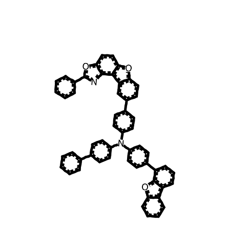 c1ccc(-c2ccc(N(c3ccc(-c4ccc5oc6ccc7oc(-c8ccccc8)nc7c6c5c4)cc3)c3ccc(-c4cccc5c4oc4ccccc45)cc3)cc2)cc1